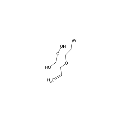 C=CCOCCC(C)C.OCCO